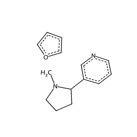 CN1CCCC1c1cccnc1.c1ccoc1